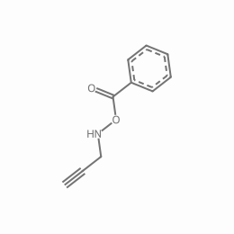 C#CCNOC(=O)c1ccccc1